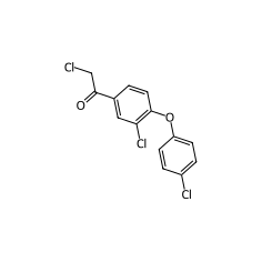 O=C(CCl)c1ccc(Oc2ccc(Cl)cc2)c(Cl)c1